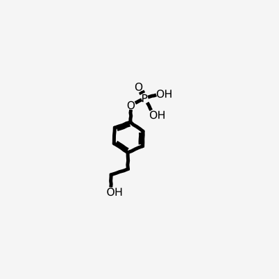 O=P(O)(O)Oc1ccc(CCO)cc1